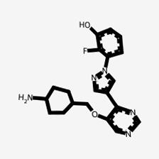 NC1CCC(COc2cncnc2-c2cnn(-c3cccc(O)c3F)c2)CC1